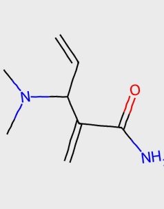 C=CC(C(=C)C(N)=O)N(C)C